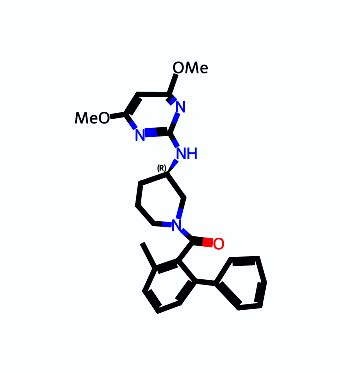 COc1cc(OC)nc(N[C@@H]2CCCN(C(=O)c3c(C)cccc3-c3ccccc3)C2)n1